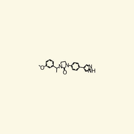 COc1cccc(C(C)N2CCN(c3ccc(-c4cn[nH]c4)cc3)C2=O)c1